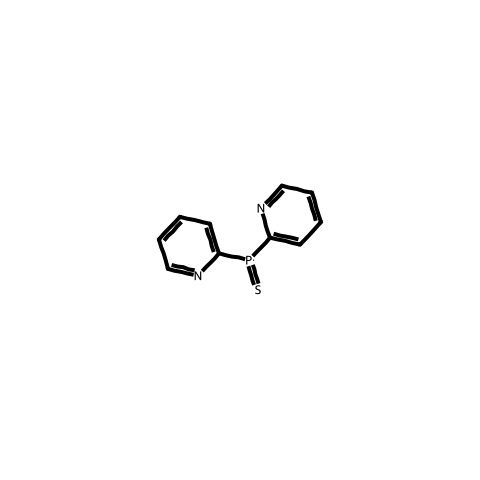 S=[P](c1ccccn1)c1ccccn1